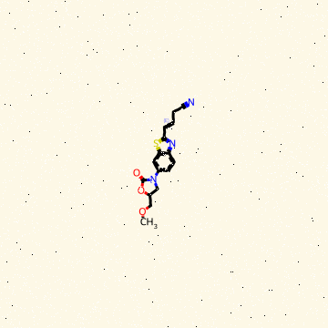 COCC1CN(c2ccc3nc(/C=C/CC#N)sc3c2)C(=O)O1